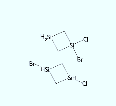 Cl[SiH]1C[SiH](Br)C1.Cl[Si]1(Br)C[SiH2]C1